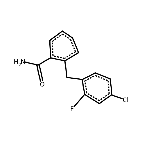 NC(=O)c1ccccc1Cc1ccc(Cl)cc1F